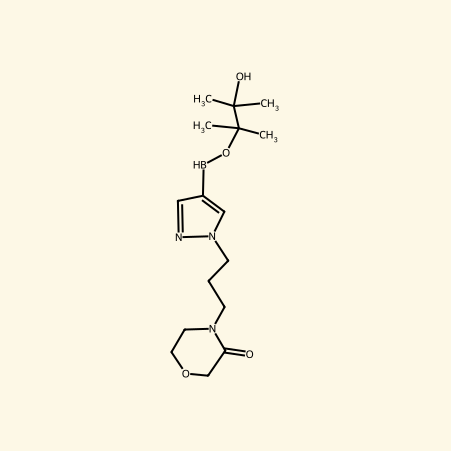 CC(C)(O)C(C)(C)OBc1cnn(CCCN2CCOCC2=O)c1